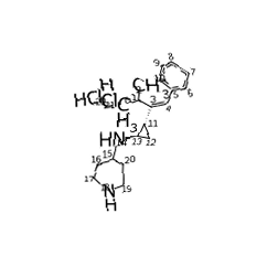 CC(C)/C(=C\c1ccccc1)[C@@H]1C[C@H]1NC1CCNCC1.Cl.Cl